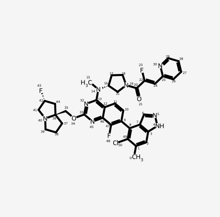 Cc1cc2[nH]ncc2c(-c2ccc3c(N(C)[C@@H]4CCN(C(=O)/C(F)=C/c5ccccn5)C4)nc(OC[C@@]45CCCN4C[C@H](F)C5)nc3c2F)c1Cl